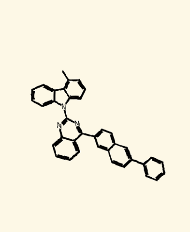 Cc1cccc2c1c1ccccc1n2-c1nc(-c2ccc3cc(-c4ccccc4)ccc3c2)c2ccccc2n1